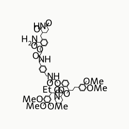 CC[C@H](C(=O)N1CCCCC1C(=O)OC(CCc1ccc(OC)c(OC)c1)c1cccc(OCC(=O)NCc2ccc(CNC(=O)COc3cccc(CC4CCC(=O)NC4=O)c3C(N)=O)cc2)c1)c1cc(OC)c(OC)c(OC)c1